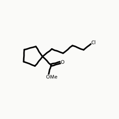 COC(=O)C1(CCCCCl)CCCC1